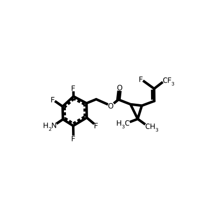 CC1(C)C(C=C(F)C(F)(F)F)C1C(=O)OCc1c(F)c(F)c(N)c(F)c1F